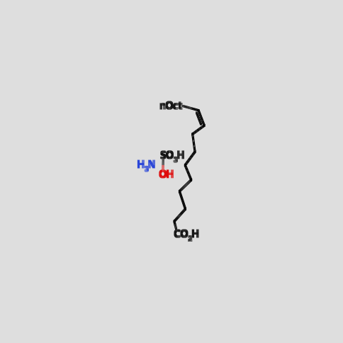 CCCCCCCC/C=C\CCCCCCCC(=O)O.N.O=S(=O)(O)O